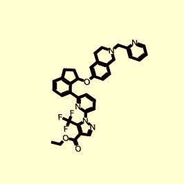 CCOC(=O)c1cnn(-c2cccc(-c3cccc4c3C(Oc3ccc5c(c3)CCN(Cc3ccccn3)C5)CC4)n2)c1C(F)(F)F